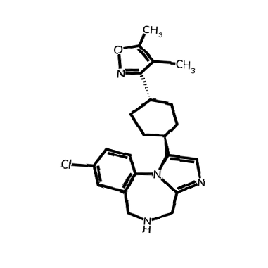 Cc1onc([C@H]2CC[C@H](c3cnc4n3-c3ccc(Cl)cc3CNC4)CC2)c1C